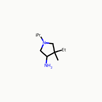 CCC1(C)CN(C(C)C)CC1N